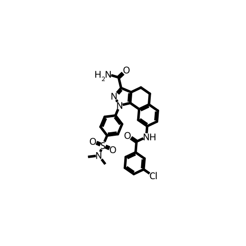 CN(C)S(=O)(=O)c1ccc(-n2nc(C(N)=O)c3c2-c2cc(NC(=O)c4cccc(Cl)c4)ccc2CC3)cc1